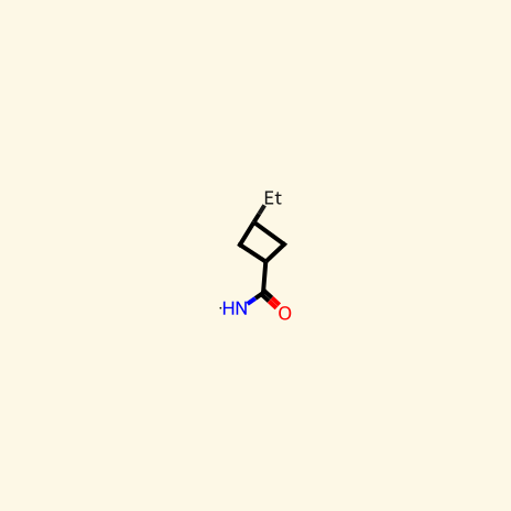 CCC1CC(C([NH])=O)C1